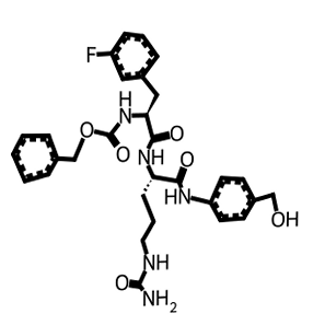 NC(=O)NCCC[C@H](NC(=O)[C@H](Cc1cccc(F)c1)NC(=O)OCc1ccccc1)C(=O)Nc1ccc(CO)cc1